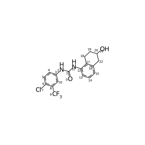 O=C(Nc1ccc(Cl)c(C(F)(F)F)c1)Nc1cccc2c1CCC(O)C2